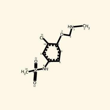 CNCOc1ccc(NS(C)(=O)=O)cc1Cl